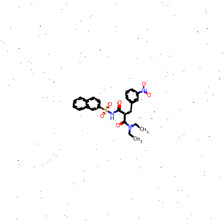 CCN(CC)C(=O)C(Cc1cccc([N+](=O)[O-])c1)C(=O)NS(=O)(=O)c1ccc2ccccc2c1